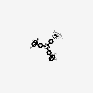 CC1(C)OB(c2ccc(-c3nc(-c4ccc(C56C[C@H]7C[C@@H](C5)C[C@@H](C6)C7)cc4)nc(-c4ccc(C56C[C@H]7C[C@H](C5)C[C@@H](C6)C7)cc4)n3)cc2)OC1(C)C